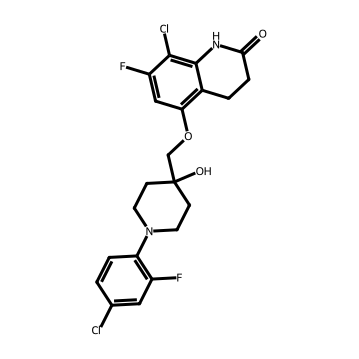 O=C1CCc2c(OCC3(O)CCN(c4ccc(Cl)cc4F)CC3)cc(F)c(Cl)c2N1